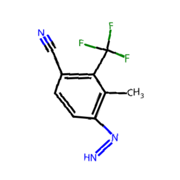 Cc1c(N=N)ccc(C#N)c1C(F)(F)F